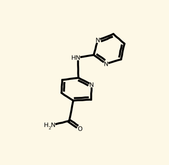 NC(=O)c1ccc(Nc2ncccn2)nc1